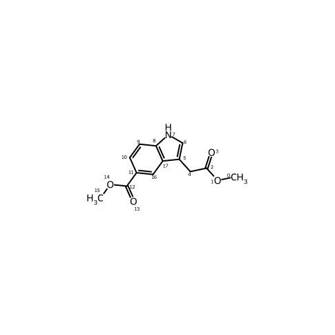 COC(=O)Cc1c[nH]c2ccc(C(=O)OC)cc12